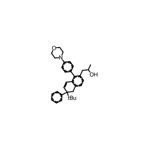 CC(O)Cc1ccc2c(c1-c1ccc(N3CCOCC3)cc1)C=CC(c1ccccc1)(C(C)(C)C)C2